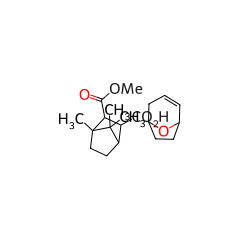 C1=CC2CCC(C1)O2.COC(=O)C1C(C(=O)O)C2CCC1(C)C2(C)C